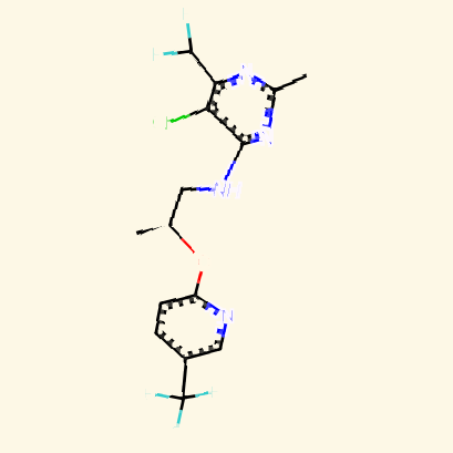 Cc1nc(NC[C@H](C)Oc2ccc(C(F)(F)F)cn2)c(Cl)c(C(F)F)n1